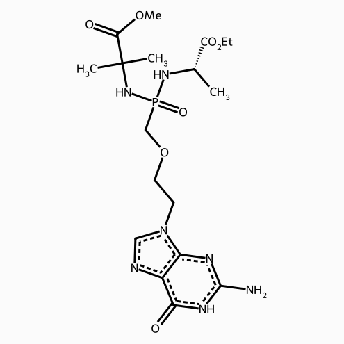 CCOC(=O)[C@H](C)NP(=O)(COCCn1cnc2c(=O)[nH]c(N)nc21)NC(C)(C)C(=O)OC